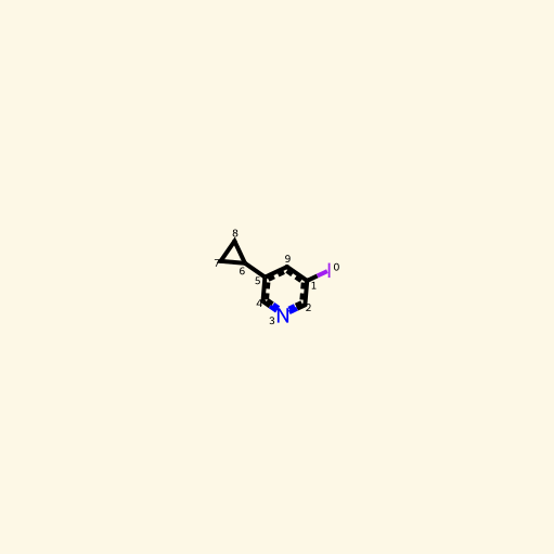 Ic1cncc(C2CC2)c1